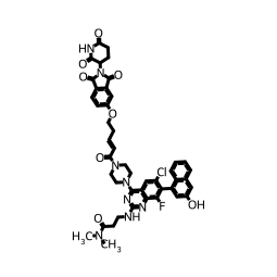 CN(C)C(=O)CCNc1nc(N2CCN(C(=O)/C=C/CCOc3ccc4c(c3)C(=O)N(C3CCC(=O)NC3=O)C4=O)CC2)c2cc(Cl)c(-c3cc(O)cc4ccccc34)c(F)c2n1